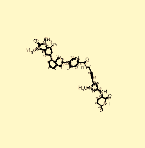 CC(C)c1cc(-c2cccc3cc(-c4ccc(C(=O)NCC#Cc5cc(NC6CCC(=O)NC6=O)nn5C)nc4)ncc23)cc2c1n(C)c(=O)n2C